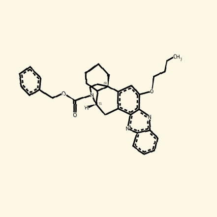 CCCCOc1cc2c(c3nc4ccccc4nc13)C[C@H]1C3CCCC[C@@]23CCN1C(=O)OCc1ccccc1